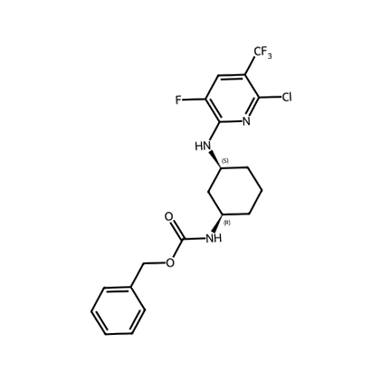 O=C(N[C@@H]1CCC[C@H](Nc2nc(Cl)c(C(F)(F)F)cc2F)C1)OCc1ccccc1